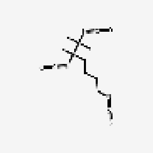 CC(C)(N=C=O)C(C)(CCCCN=C=O)N=C=O